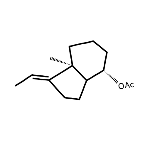 C/C=C1\CCC2[C@@H](OC(C)=O)CCC[C@]12C